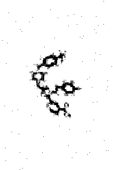 COC(=O)c1ccnc(-c2nc(CN3CCN(Cc4ccc(C(F)(F)F)cc4)CC3)cn2CCc2ccc(F)cc2)c1